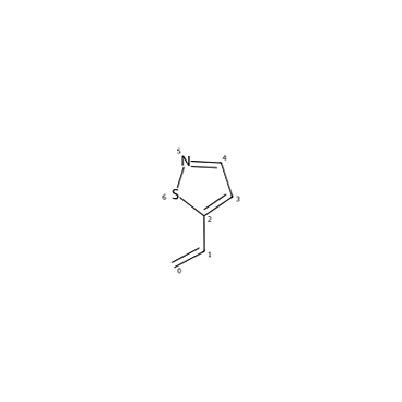 C=Cc1ccns1